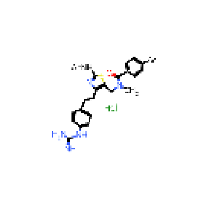 CC(=O)Nc1nc(CCc2ccc(NC(=N)N)cc2)c(CN(C)C(=O)c2ccc(C(C)=O)cc2)s1.Cl